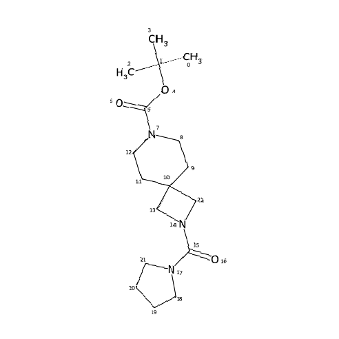 CC(C)(C)OC(=O)N1CCC2(CC1)CN(C(=O)N1CCCC1)C2